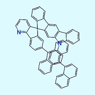 c1ccc(-n2c3ccccc3c3cc4c(cc32)C2(c3ccccc3-4)c3cc(-c4c5ccccc5c(-c5cccc6ccccc56)c5ccccc45)ccc3-c3ncccc32)cc1